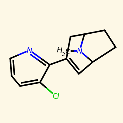 CN1C2C=C(c3ncccc3Cl)CC1CC2